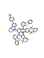 CC(C)(C)c1ccc(-c2ccc3c(c2)C2(C)CCCCC2(C)N3c2cc3c4c(c2)N(c2cccc5c2sc2ccccc25)c2cc5c(cc2B4c2cc4c(cc2N3c2cccc3c2oc2ccccc23)C(C)(C)CCC4(C)C)C(C)(C)c2ccccc2C5(C)C)cc1